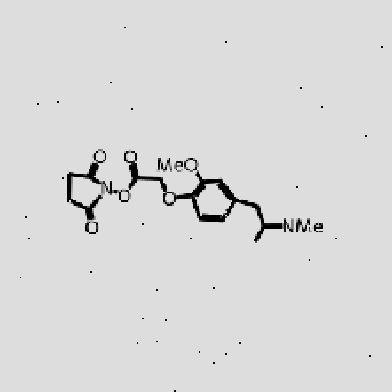 CNC(C)Cc1ccc(OCC(=O)ON2C(=O)CCC2=O)c(OC)c1